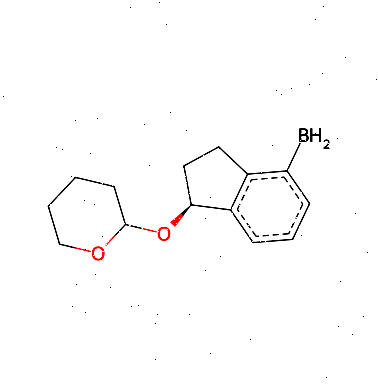 Bc1cccc2c1CC[C@@H]2OC1CCCCO1